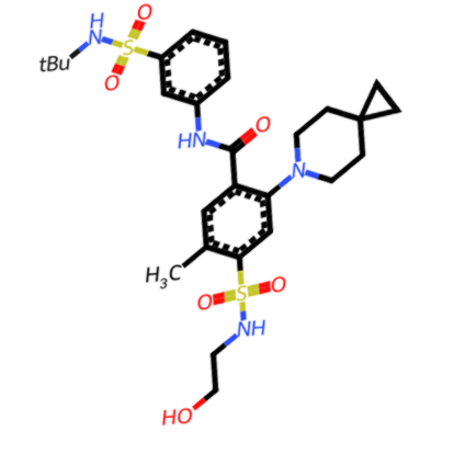 Cc1cc(C(=O)Nc2cccc(S(=O)(=O)NC(C)(C)C)c2)c(N2CCC3(CC2)CC3)cc1S(=O)(=O)NCCO